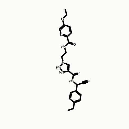 CCOc1ccc(C(=O)NCCN2C=C(C(=O)NC(C#N)c3ccc(CC)cc3)NN2)nc1